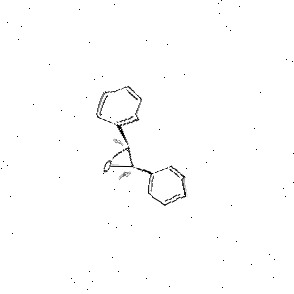 c1ccc([C@H]2O[C@H]2c2ccccc2)cc1